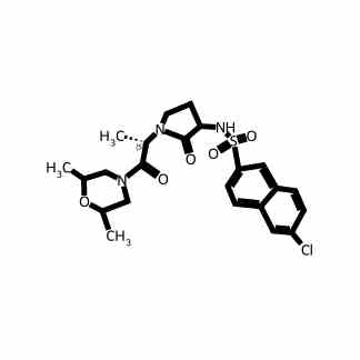 CC1CN(C(=O)[C@H](C)N2CCC(NS(=O)(=O)c3ccc4cc(Cl)ccc4c3)C2=O)CC(C)O1